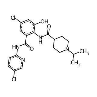 CC(C)N1CCC(C(=O)Nc2c(O)cc(Cl)cc2C(=O)Nc2ccc(Cl)cn2)CC1